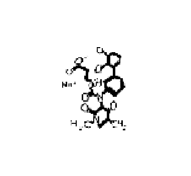 CC1=CN(C)C(=O)C(N(C(=O)NCCC(=O)[O-])c2cccc(-c3cccc(Cl)c3Cl)c2)C1=O.[Na+]